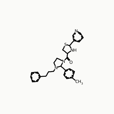 Cc1ccc(C2N(CCCc3ccccc3)CCN2C(=O)C2CSC(c3cccnc3)N2)cc1